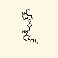 Cc1cccc(NCC2CC(n3ccc4c(Cl)ncnc43)C2)n1